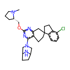 CN1CCC[C@H]1COc1nc2c(c(N3CC4CCC(C3)N4)n1)CCC1(CCc3c(Cl)cccc31)C2